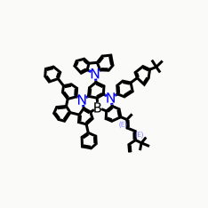 C=C/C(=C\C=C(/C)c1ccc2c(c1)N(c1ccc(-c3ccc(C(C)(C)C)cc3)cc1)c1cc(-n3c4ccccc4c4ccccc43)cc3c1B2c1cc(-c2ccccc2)cc2c1N3c1ccc(-c3ccccc3)cc1-c1ccccc1-2)C(C)(C)C